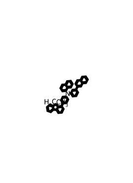 CC1(C)c2ccccc2-c2cccc(-c3ccc(N(c4cccc(-c5ccc6ccccc6c5)c4)c4cccc5ccccc45)cc3)c21